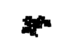 CNCc1[nH]c(C2=CC(NC=O)=NCC2)c(NC2=C=C=CC=C2)c1C(=O)CNC=O